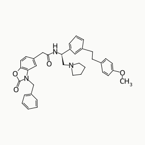 COc1ccc(CCc2cccc([C@@H](CN3CCCC3)NC(=O)Cc3ccc4oc(=O)n(Cc5ccccc5)c4c3)c2)cc1